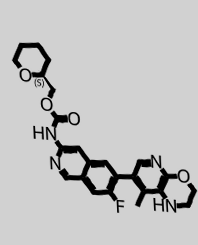 Cc1c(-c2cc3cc(NC(=O)OC[C@@H]4CCCCO4)ncc3cc2F)cnc2c1NCCO2